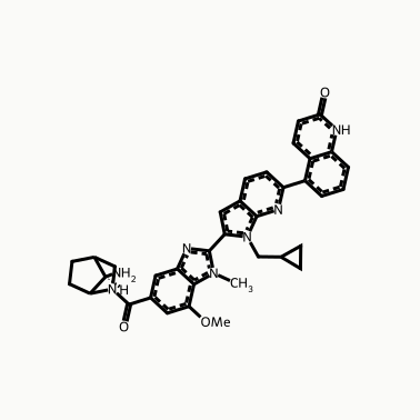 COc1cc(C(=O)N2CC3CCC2[C@@H]3N)cc2nc(-c3cc4ccc(-c5cccc6[nH]c(=O)ccc56)nc4n3CC3CC3)n(C)c12